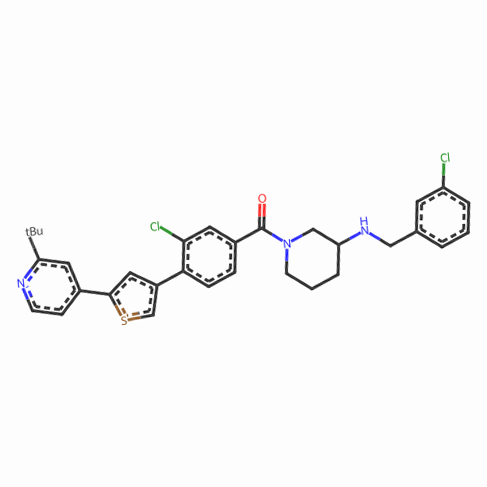 CC(C)(C)c1cc(-c2cc(-c3ccc(C(=O)N4CCCC(NCc5cccc(Cl)c5)C4)cc3Cl)cs2)ccn1